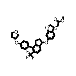 COC(=O)C[C@@H]1COc2cc(O[C@@H]3CCc4c3ccc(C(F)(F)F)c4-c3ccc(O[C@@H]4CCOC4)cc3)ccc21